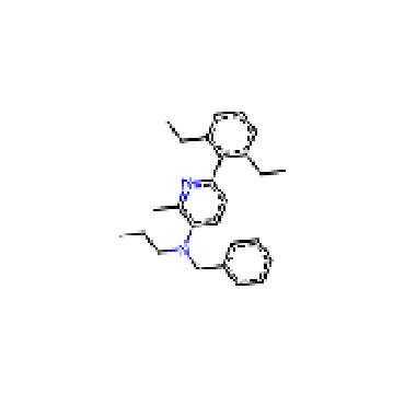 CCCN(Cc1ccccc1)c1ccc(-c2c(CC)cccc2CC)nc1C